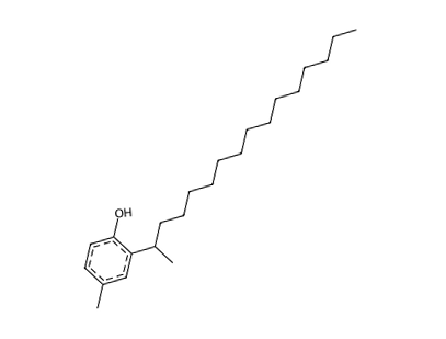 CCCCCCCCCCCCCCC(C)c1cc(C)ccc1O